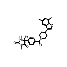 Cc1cc(C)c2occ(C3CCN(C(=O)c4ccc([C@@]5(C(C)C)NC(=O)NC5=O)cc4)CC3)c2c1